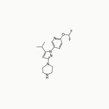 CC(C)c1cc(N2CCNCC2)nn1-c1ccc(OC(F)F)nc1